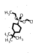 CCOP(=O)(OCC)C1CCC(C(C)(C)C)CC1